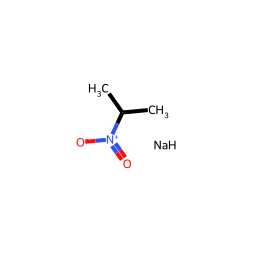 CC(C)[N+](=O)[O-].[NaH]